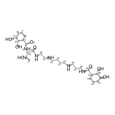 C[C@@H](O)[C@H](NC(=O)c1cccc(O)c1O)C(=O)NCCNCCCCNCCCNC(=O)c1cccc(O)c1O